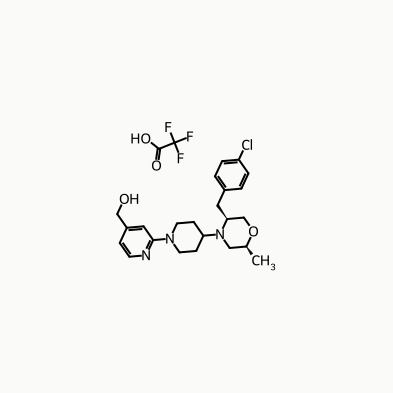 C[C@H]1CN(C2CCN(c3cc(CO)ccn3)CC2)[C@@H](Cc2ccc(Cl)cc2)CO1.O=C(O)C(F)(F)F